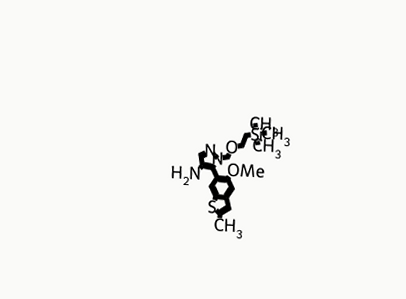 COc1cc2cc(C)sc2cc1-c1c(N)cnn1COCC[Si](C)(C)C